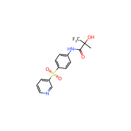 CC(O)(C(=O)Nc1ccc(S(=O)(=O)c2cccnc2)cc1)C(F)(F)F